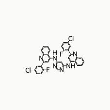 Fc1ccc(Cl)cc1-c1cc(Nc2cc(Nc3cc(-c4cc(Cl)ccc4F)nc4ccccc34)ncn2)c2ccccc2n1